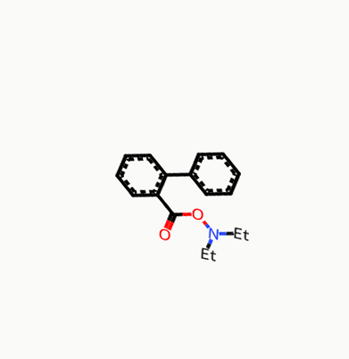 CCN(CC)OC(=O)c1ccccc1-c1ccccc1